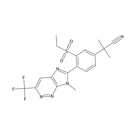 CCS(=O)(=O)c1cc(C(C)(C)C#N)ccc1-c1nc2cc(C(F)(F)F)nnc2n1C